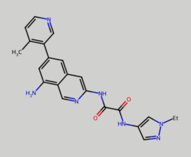 CCn1cc(NC(=O)C(=O)Nc2cc3cc(-c4cnccc4C)cc(N)c3cn2)cn1